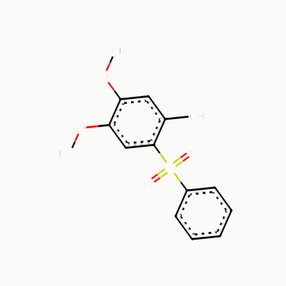 COc1cc(C)c(S(=O)(=O)c2ccccc2)cc1OC